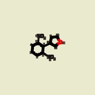 O=[N+]([O-])c1cccc([N+](=O)[O-])c1-c1ccoc1